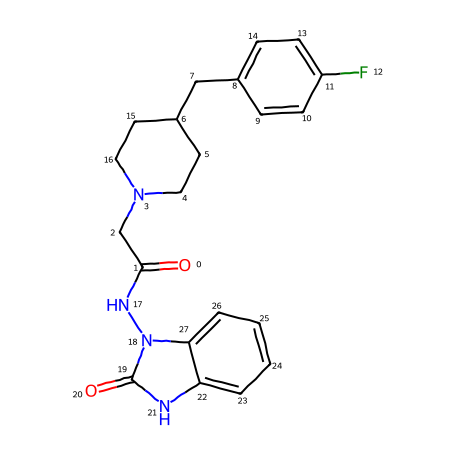 O=C(CN1CCC(Cc2ccc(F)cc2)CC1)Nn1c(=O)[nH]c2ccccc21